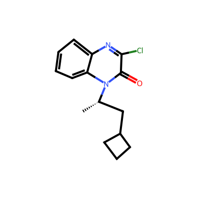 C[C@@H](CC1CCC1)n1c(=O)c(Cl)nc2ccccc21